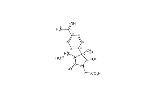 CN1C(=O)N(CC(=O)O)C(=O)C1(C)c1ccc(C(=N)N)cc1.Cl